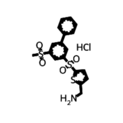 CS(=O)(=O)c1cc(-c2ccccc2)cc(S(=O)(=O)c2ccc(CN)s2)c1.Cl